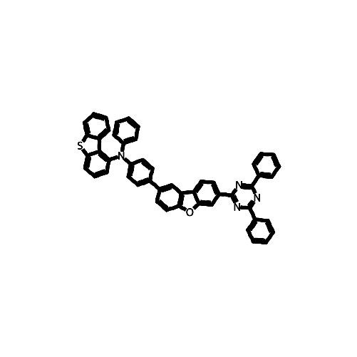 c1ccc(-c2nc(-c3ccccc3)nc(-c3ccc4c(c3)oc3ccc(-c5ccc(N(c6ccccc6)c6cccc7sc8ccccc8c67)cc5)cc34)n2)cc1